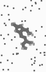 C/C=c1/nc(Cl)s/c1=C/CC(C)CC(C)C